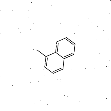 [CH]c1cccc2ccccc12